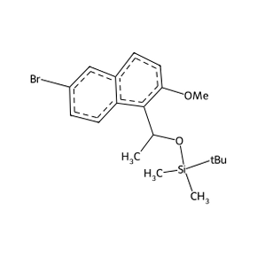 COc1ccc2cc(Br)ccc2c1C(C)O[Si](C)(C)C(C)(C)C